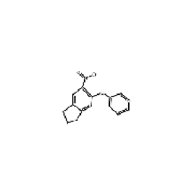 O=[N+]([O-])c1cc2c(cc1Oc1cccnc1)CCC2